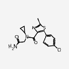 Cc1nc(C(=O)N(CC(N)=O)C2CC2)c(-c2ccc(Cl)cc2)s1